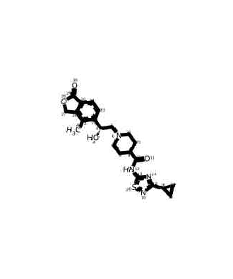 Cc1c([C@@H](O)CN2CCC(C(=O)Nc3nc(C4CC4)ns3)CC2)ccc2c1COC2=O